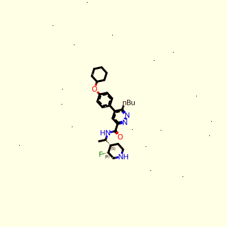 CCCCc1nnc(C(=O)NC(C)[C@@H]2CCNC[C@@H]2F)cc1-c1ccc(OC2CCCCC2)cc1